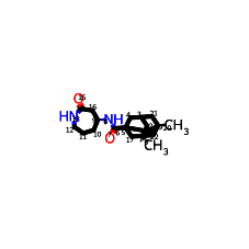 CC12CC3CC(C(=O)N[C@H]4CCCNC(=O)C4)(C1)C[C@](C)(C3)C2